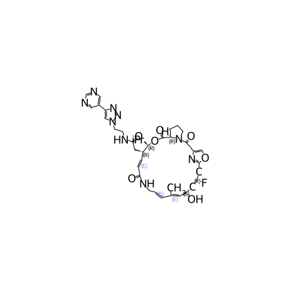 CC1=C\[C@@H](O)C[C@@H](F)Cc2nc(co2)C(=O)N2CCC[C@@H]2C(=O)O[C@H](C(C)C)[C@H](CC(=O)NCCn2cc(-c3cncnc3)nn2)/C=C/C(=O)NC\C=C\1